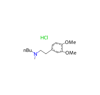 CCCCN(C)CCc1ccc(OC)c(OC)c1.Cl